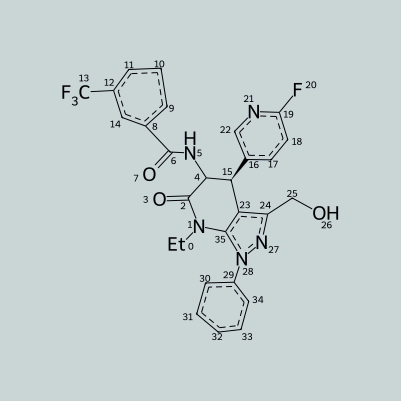 CCN1C(=O)C(NC(=O)c2cccc(C(F)(F)F)c2)[C@@H](c2ccc(F)nc2)c2c(CO)nn(-c3ccccc3)c21